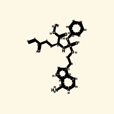 C=CC(=O)CC[C@H](NP(=O)(OCCn1cnc2c(N)ncnc21)Oc1ccccc1)C(=O)OC(C)C